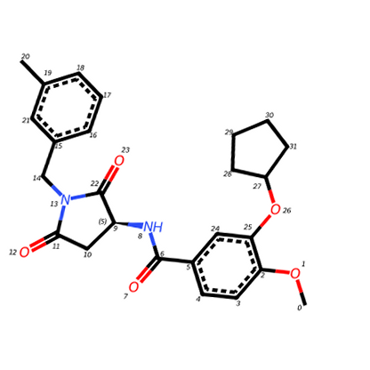 COc1ccc(C(=O)N[C@H]2CC(=O)N(Cc3cccc(C)c3)C2=O)cc1OC1CCCC1